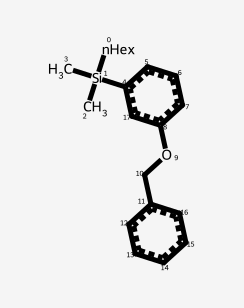 CCCCCC[Si](C)(C)c1cccc(OCc2ccccc2)c1